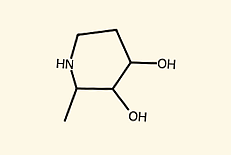 CC1NCCC(O)C1O